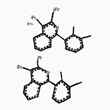 Cc1cccc(-c2nc(C(C)C)c(C(C)C)c3ccccc23)c1C.Cc1cccc(-c2nc(C(C)C)c(C(C)C)c3ccccc23)c1C.[Ir+3]